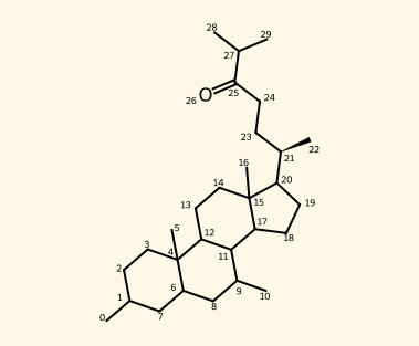 CC1CCC2(C)C(C1)CC(C)C1C2CCC2(C)C1CCC2[C@H](C)CCC(=O)C(C)C